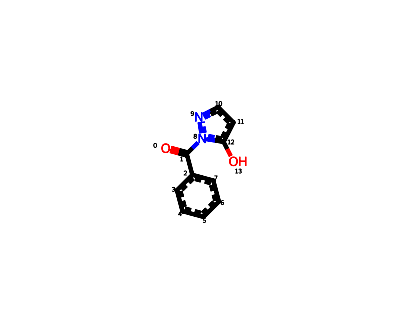 O=C(c1ccccc1)n1nccc1O